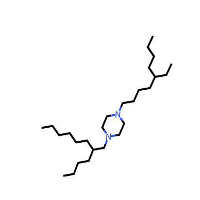 CCCCCCC(CCCC)CN1CCN(CCCCC(CC)CCCC)CC1